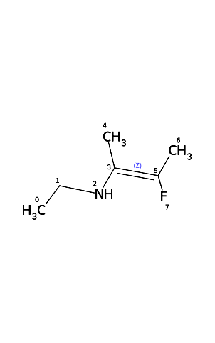 CCN/C(C)=C(/C)F